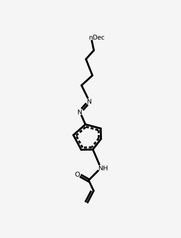 C=CC(=O)Nc1ccc(N=NCCCCCCCCCCCCCC)cc1